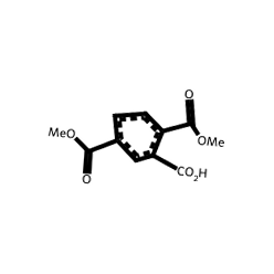 COC(=O)c1ccc(C(=O)OC)c(C(=O)O)c1